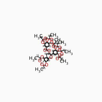 CCC(=O)Oc1cc(OC(=O)CC)c2c(c1)O[C@H](c1cc(OC(=O)CC)c(OC(=O)CC)c(OC(=O)CC)c1)[C@H](OC(=O)c1cc(OC(=O)CC)c(OC(=O)CC)c(OC(=O)CC)c1)C2